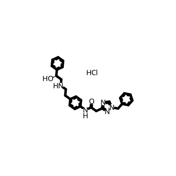 Cl.O=C(Cc1ncn(Cc2ccccc2)n1)Nc1ccc(CCNC[C@H](O)c2ccccc2)cc1